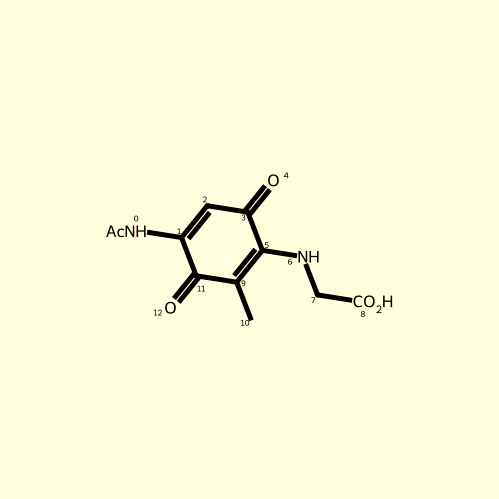 CC(=O)NC1=CC(=O)C(NCC(=O)O)=C(C)C1=O